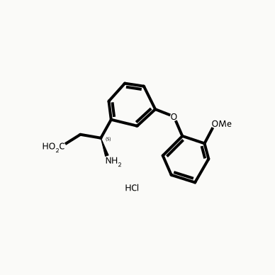 COc1ccccc1Oc1cccc([C@@H](N)CC(=O)O)c1.Cl